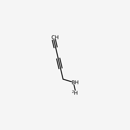 [2H]BCC#CC#C